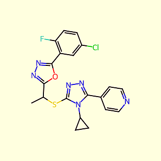 CC(Sc1nnc(-c2ccncc2)n1C1CC1)c1nnc(-c2cc(Cl)ccc2F)o1